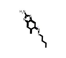 C=C1C=c2nc(N)sc2=C/C1=N/SCCCC